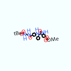 COC(=O)Oc1ccc2c(c1)NC(=O)/C2=C(\Nc1ccc(C(=O)NCCNC(=O)OC(C)(C)C)cc1)c1ccccc1